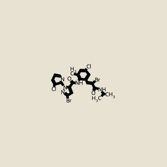 Cc1cc(Cl)cc(/C=C(\Br)C(=O)NC(C)C)c1NC(=O)c1cc(Br)nn1-c1ncccc1Cl